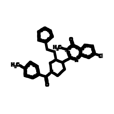 Cc1ccc(C(=O)N2CCC(c3nc4cc(Cl)ccc4c(=O)n3C)C(CCc3ccccc3)C2)cc1